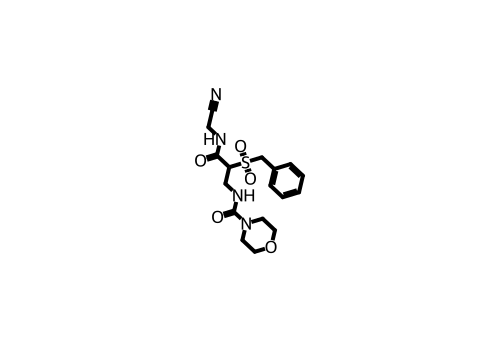 N#CCNC(=O)C(CNC(=O)N1CCOCC1)S(=O)(=O)Cc1ccccc1